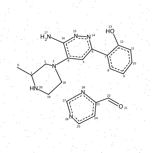 CC1CN(c2cc(-c3ccccc3O)nnc2N)CCN1.O=Cc1ccncn1